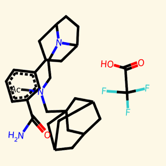 CC(=O)N(CCN1C2CCC1CC(c1cccc(C(N)=O)c1)C2)CC12CC3CC(CC(C3)C1)C2.O=C(O)C(F)(F)F